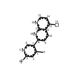 Cc1cc(F)ncc1-c1ccc2c(Cl)ccnc2n1